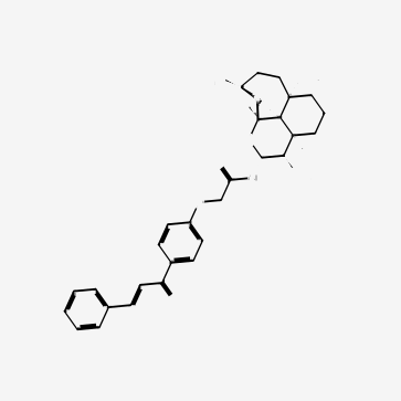 C[C@H]1[C@H](NC(=O)COc2ccc(C(=O)/C=C/c3ccccc3)cc2)O[C@@H]2O[C@@]3(C)CC[C@H]4[C@H](C)CC[C@@H]1[C@@]24OO3